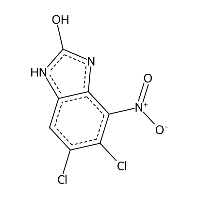 O=[N+]([O-])c1c(Cl)c(Cl)cc2[nH]c(O)nc12